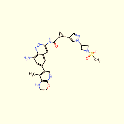 Cc1c(-c2cc(N)c3nnc(NC(=O)[C@H]4C[C@@H]4c4cnn(C5CN(S(C)(=O)=O)C5)c4)cc3c2)cnc2c1NCCO2